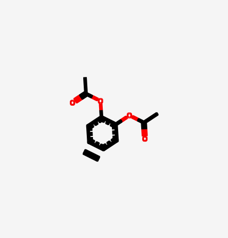 C=C.CC(=O)Oc1ccccc1OC(C)=O